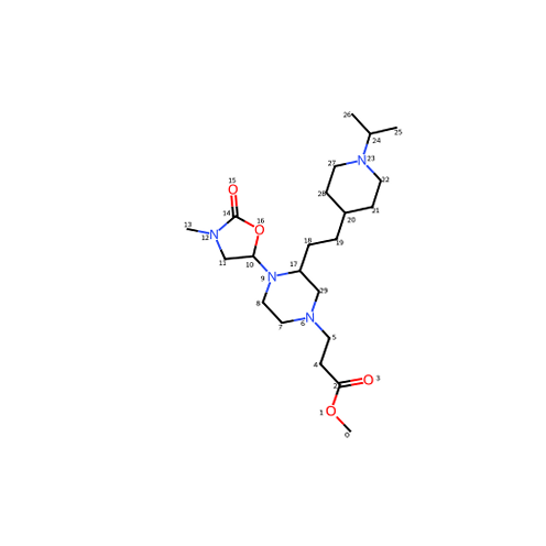 COC(=O)CCN1CCN(C2CN(C)C(=O)O2)C(CCC2CCN(C(C)C)CC2)C1